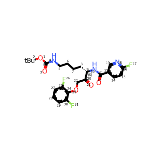 CC(C)(C)OC(=O)NCCCC[C@H](NC(=O)c1ccc(F)nc1)C(=O)COc1c(F)cccc1F